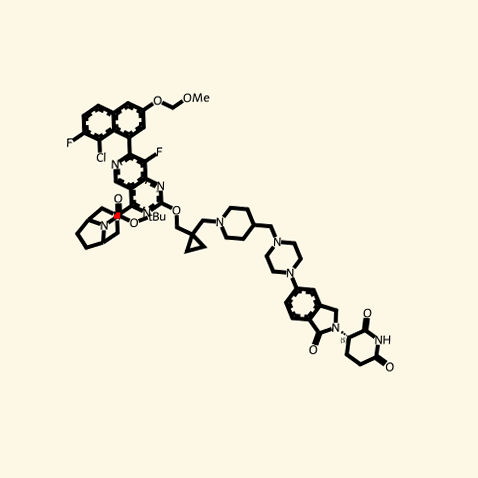 COCOc1cc(-c2ncc3c(N4CC5CCC(C4)N5C(=O)OC(C)(C)C)nc(OCC4(CN5CCC(CN6CCN(c7ccc8c(c7)CN([C@H]7CCC(=O)NC7=O)C8=O)CC6)CC5)CC4)nc3c2F)c2c(Cl)c(F)ccc2c1